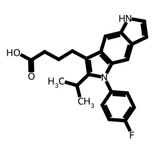 CC(C)c1c(CCCC(=O)O)c2cc3[nH]ccc3cc2n1-c1ccc(F)cc1